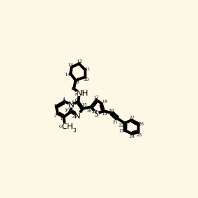 Cc1cccn2c(NCC3CCCCC3)c(-c3ccc(C#Cc4ccccc4)s3)nc12